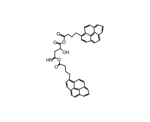 N=C(CC(O)C(=O)OC(=O)CCCc1ccc2ccc3cccc4ccc1c2c34)OC(=O)CCCc1ccc2ccc3cccc4ccc1c2c34